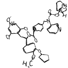 COc1ccc(C(Cc2c(Cl)c[n+]([O-])cc2Cl)OC(=O)c2ccc(CN(C(=O)O[C@H]3CN4CCC3CC4)c3cccnc3)cc2)cc1OC1CCCC1